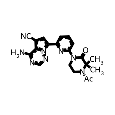 CC(=O)N1CCN(c2cccc(-c3cc(C#N)c4c(N)ncnn34)n2)C(=O)C1(C)C